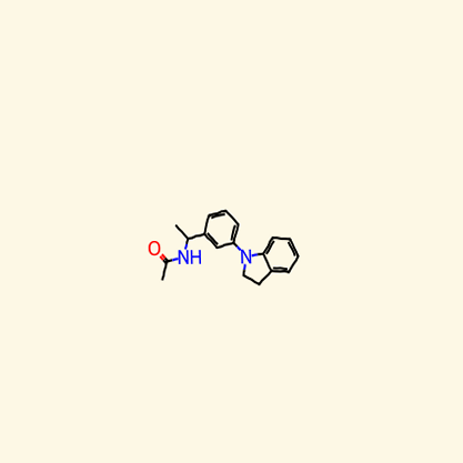 CC(=O)NC(C)c1cccc(N2CCc3ccccc32)c1